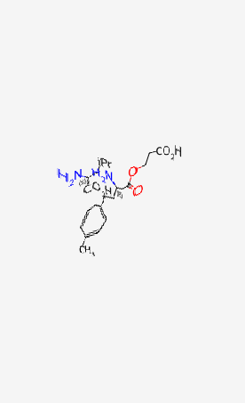 CC(C)C[C@H](N)C(=O)O.Cc1ccc(CC[C@@H](N)C(=O)OCCC(=O)O)cc1